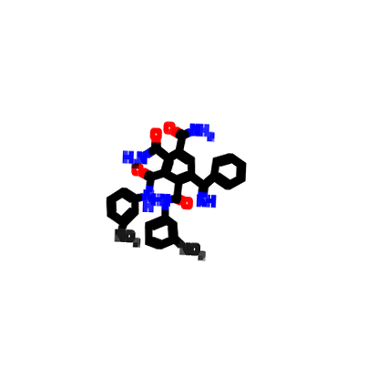 N=C(c1ccccc1)c1cc(C(N)=O)c(C(N)=O)c(C(=O)Nc2cccc([N+](=O)[O-])c2)c1C(=O)Nc1cccc([N+](=O)[O-])c1